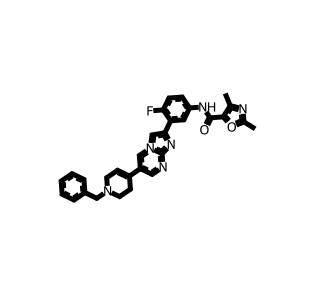 Cc1nc(C)c(C(=O)Nc2ccc(F)c(-c3cn4cc(C5=CCN(Cc6ccccc6)CC5)cnc4n3)c2)o1